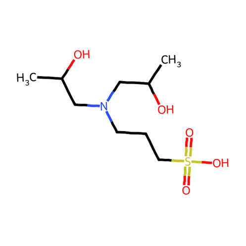 CC(O)CN(CCCS(=O)(=O)O)CC(C)O